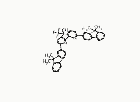 CC1(C)c2ccccc2-c2ccc(-c3ccc4c(n3)-c3nc(-c5ccc6c(c5)C(C)(C)c5ccccc5-6)ccc3C4(C)C(F)(F)F)cc21